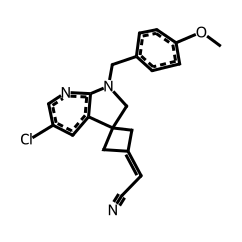 COc1ccc(CN2CC3(CC(=CC#N)C3)c3cc(Cl)cnc32)cc1